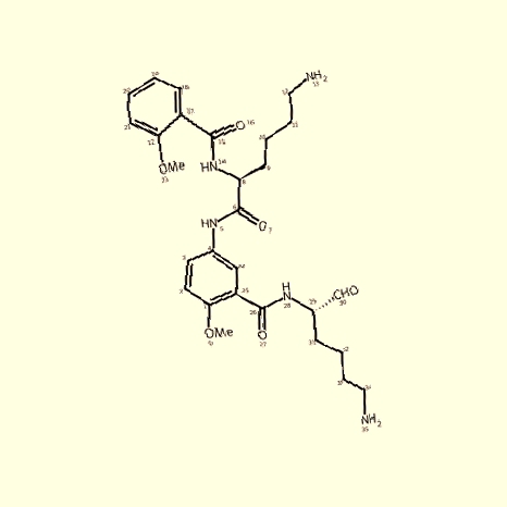 COc1ccc(NC(=O)[C@H](CCCCN)NC(=O)c2ccccc2OC)cc1C(=O)N[C@H](C=O)CCCCN